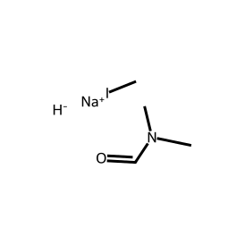 CI.CN(C)C=O.[H-].[Na+]